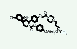 COc1ccc(OC(=O)N2CCc3c([nH]c4ccc(Cl)cc34)C2c2ccc(OCC(=O)N3CCN(CCCN(C)C)CC3)cc2)cc1